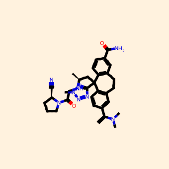 C=C(c1ccc2c(c1)CCc1cc(C(N)=O)ccc1C2(C[C@H](C)NCC(=O)N1CCC[C@H]1C#N)c1nnn(C)n1)N(C)C